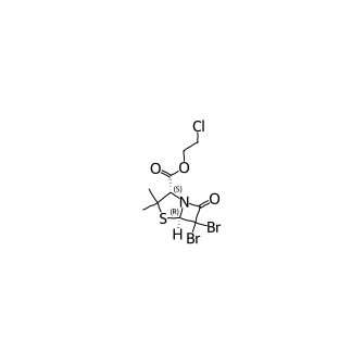 CC1(C)S[C@H]2N(C(=O)C2(Br)Br)[C@H]1C(=O)OCCCl